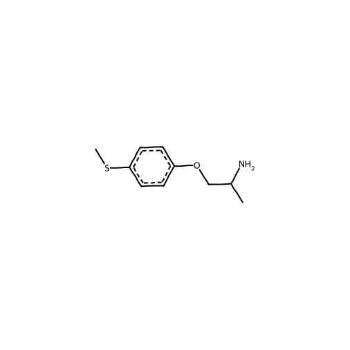 CSc1ccc(OCC(C)N)cc1